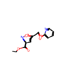 CCOC(=O)c1cc(COc2ccccn2)on1